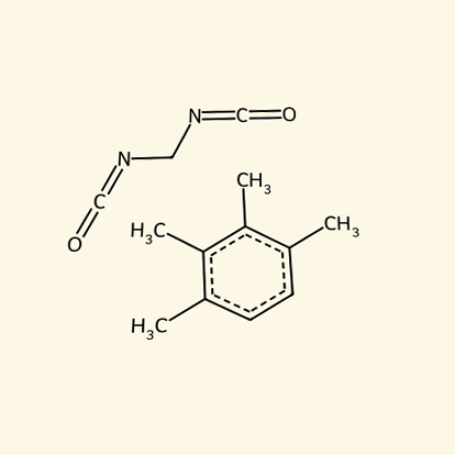 Cc1ccc(C)c(C)c1C.O=C=NCN=C=O